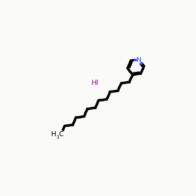 CCCCCCCCCCCCCc1ccncc1.I